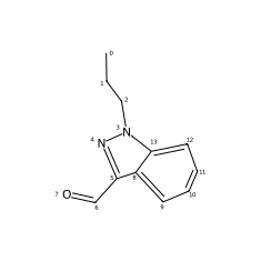 CCCn1nc(C=O)c2ccccc21